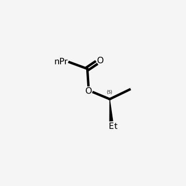 CCCC(=O)O[C@@H](C)CC